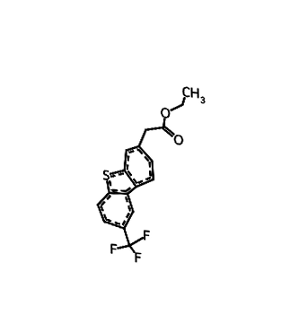 CCOC(=O)Cc1ccc2c(c1)sc1ccc(C(F)(F)F)cc12